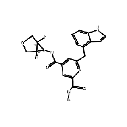 CCNC(=O)c1cc(C(=O)N[C@H]2[C@@H]3COC[C@@H]32)cc(Cc2cccc3[nH]ccc23)n1